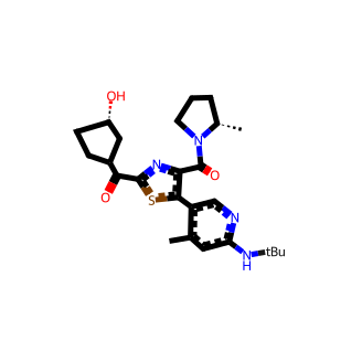 Cc1cc(NC(C)(C)C)ncc1-c1sc(C(=O)C2CC[C@H](O)C2)nc1C(=O)N1CCC[C@@H]1C